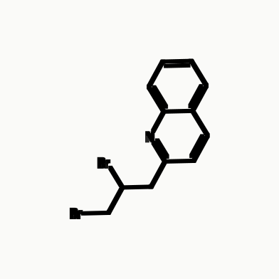 BrCC(Br)Cc1ccc2ccccc2n1